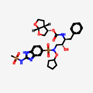 CS(=O)(=O)Nc1nc2cc(S(=O)(=O)N(C[C@@H](O)[C@H](Cc3ccccc3)NC(=O)O[C@@H]3CO[C@@H]4OCC[C@@H]43)OC3CCCC3)ccc2[nH]1